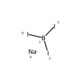 IB(I)I.[Na]